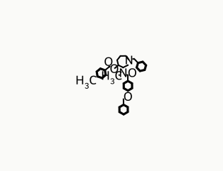 Cc1ccc(C(=O)OC2CCCN(Cc3ccccc3)CC2N(C)C(=O)c2ccc(OCc3ccccc3)cc2)cc1